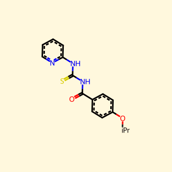 CC(C)Oc1ccc(C(=O)NC(=S)Nc2ccccn2)cc1